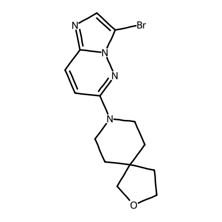 Brc1cnc2ccc(N3CCC4(CCOC4)CC3)nn12